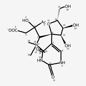 CC(=O)C(O)(CC(=O)[O-])C([C@@]1(c2c[nH]c(=O)[nH]c2=O)O[C@H](CO)[C@@H](O)[C@H]1O)[N+](C)(C)C